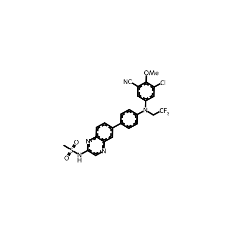 COc1c(Cl)cc(N(CC(F)(F)F)c2ccc(-c3ccc4nc(NS(C)(=O)=O)cnc4c3)cc2)cc1C#N